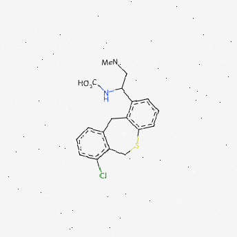 CNCC(NC(=O)O)c1cccc2c1Cc1cccc(Cl)c1CS2